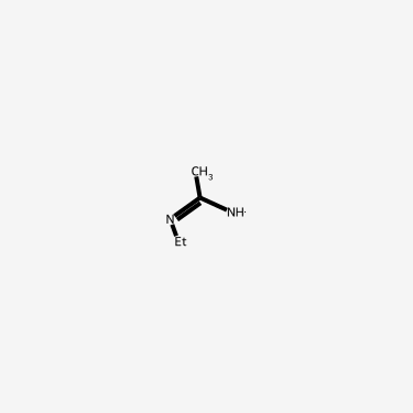 CCN=C(C)[NH]